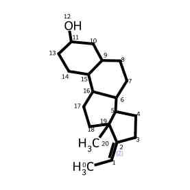 C/C=C1/CCC2C3CCC4CC(O)CCC4C3CCC12C